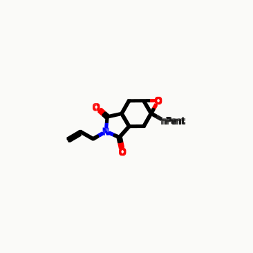 C=CCN1C(=O)C2CC3OC3(CCCCC)CC2C1=O